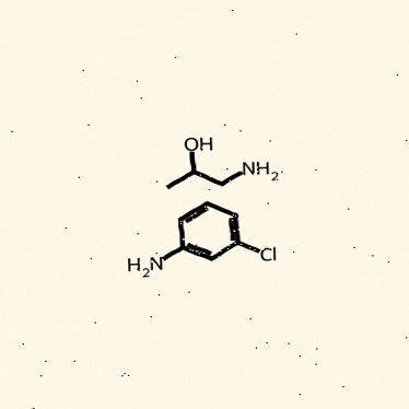 CC(O)CN.Nc1cccc(Cl)c1